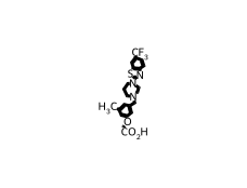 Cc1cc(CN2CCCN(c3nc4ccc(C(F)(F)F)cc4s3)CC2)cc(OCC(=O)O)c1